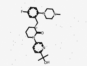 CN1CCN(c2ccc(F)cc2C[C@@H]2CCCN(c3ccc(C(C)(C)O)nc3)C2=O)CC1